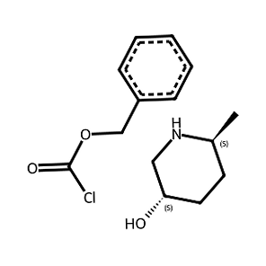 C[C@H]1CC[C@H](O)CN1.O=C(Cl)OCc1ccccc1